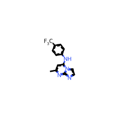 Cc1cc(Nc2ccc(C(F)(F)F)cc2)n2ccnc2n1